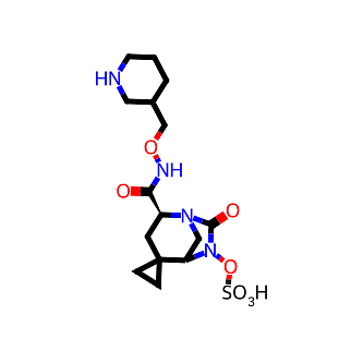 O=C(NOCC1CCCNC1)[C@@H]1CC2(CC2)C2CN1C(=O)N2OS(=O)(=O)O